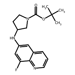 CC(C)(C)OC(=O)N1CCC(Nc2cc(F)c3ncccc3c2)C1